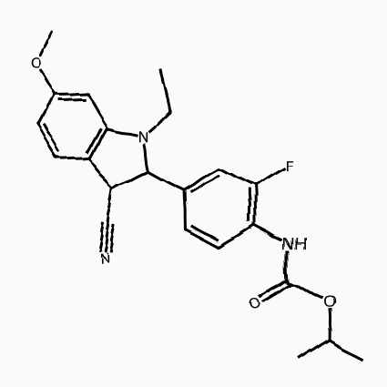 CCN1c2cc(OC)ccc2C(C#N)C1c1ccc(NC(=O)OC(C)C)c(F)c1